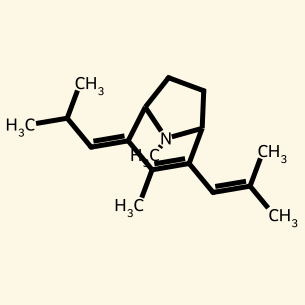 CC(C)=CC1=C(C)/C(=C/C(C)C)C2CCC1N2C